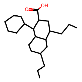 CCCC1CCC2C(C1)C(CCC)CC(C(=O)O)C2C1CCCCC1